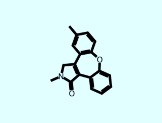 Cc1ccc2c(c1)C1=C(C(=O)N(C)C1)c1ccccc1O2